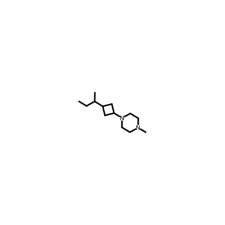 CCC(C)C1CC(N2CCN(C)CC2)C1